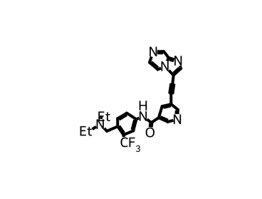 CCN(CC)Cc1ccc(NC(=O)c2cncc(C#Cc3cnc4cnccn34)c2)cc1C(F)(F)F